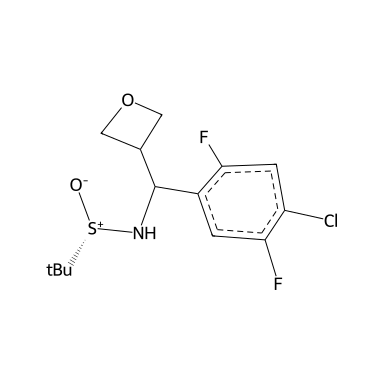 CC(C)(C)[S@+]([O-])NC(c1cc(F)c(Cl)cc1F)C1COC1